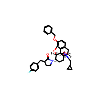 O=C1C(Cc2ccc(F)cc2)CCN1[C@H]1CC[C@@]2(O)[C@H]3Cc4ccc(OCc5ccccc5)c5c4[C@@]2(CCN3CC2CC2)[C@H]1O5